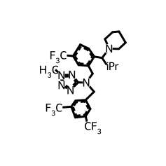 CC(C)C(c1ccc(C(F)(F)F)cc1CN(Cc1cc(C(F)(F)F)cc(C(F)(F)F)c1)c1nnn(C)n1)N1CCCCC1